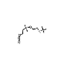 CC(C)(C)OCCOC(C)(C)CCN=[N+]=[N-]